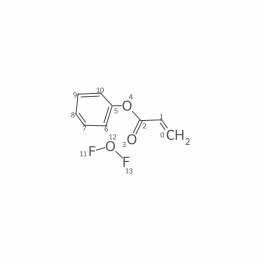 C=CC(=O)Oc1ccccc1.FOF